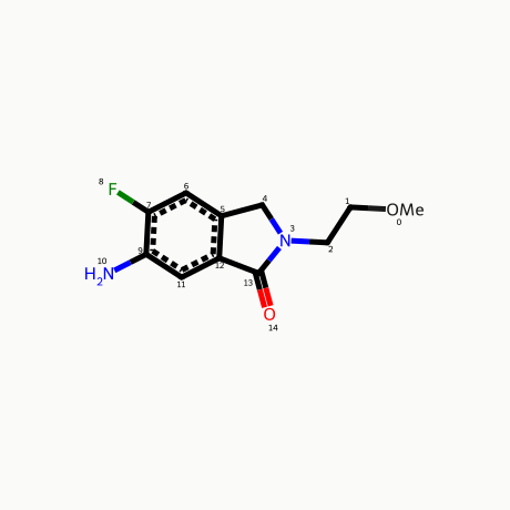 COCCN1Cc2cc(F)c(N)cc2C1=O